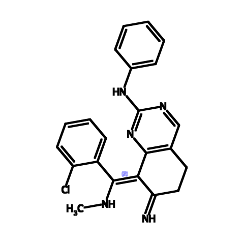 CN/C(=C1\C(=N)CCc2cnc(Nc3ccccc3)nc21)c1ccccc1Cl